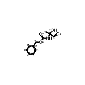 CC(O)([C]=O)NC(=O)OCc1ccccc1